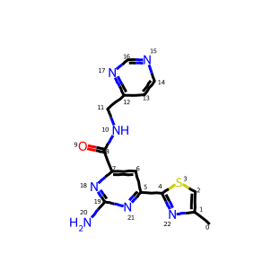 Cc1csc(-c2cc(C(=O)NCc3ccncn3)nc(N)n2)n1